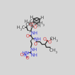 CCCC(CCC(=O)N[C@@H](CCCNC(=N)N[N+](=O)[O-])C(=O)N[C@@H](CC(C)C)B1O[C@@H]2C[C@@H]3C[C@@H](C3(C)C)[C@]2(C)O1)C(=O)OC